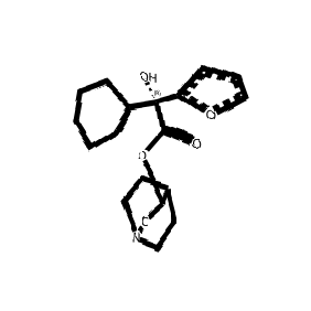 O=C(OC1CN2CCC1CC2)[C@](O)(c1ccco1)C1CCCCC1